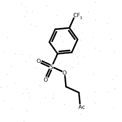 CC(=O)CCOS(=O)(=O)c1ccc(C(F)(F)F)cc1